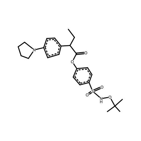 CCC(C(=O)Oc1ccc(S(=O)(=O)NOC(C)(C)C)cc1)c1ccc(N2CCCC2)cc1